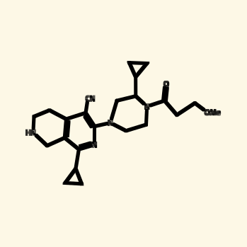 COCCC(=O)N1CCN(c2nc(C3CC3)c3c(c2C#N)CCNC3)CC1C1CC1